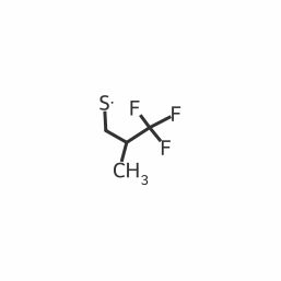 CC(C[S])C(F)(F)F